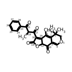 CC1=C2C(=COCC2(C)C)C(=O)C2OC(=O)C(C(=O)C(C)C(=O)c3ccccc3)=C12